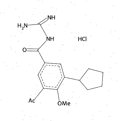 COc1c(C(C)=O)cc(C(=O)NC(=N)N)cc1C1CCCC1.Cl